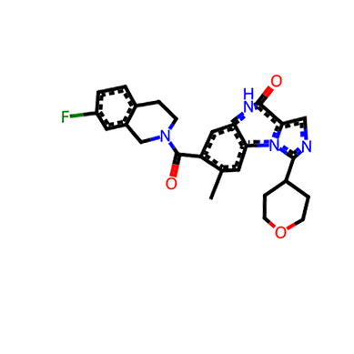 Cc1cc2c(cc1C(=O)N1CCc3ccc(F)cc3C1)[nH]c(=O)c1cnc(C3CCOCC3)n12